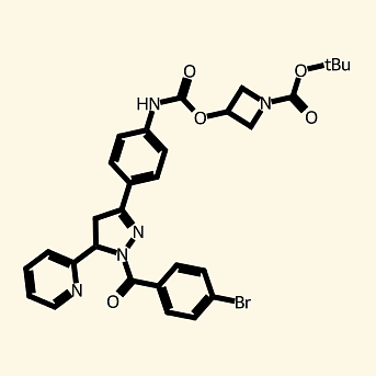 CC(C)(C)OC(=O)N1CC(OC(=O)Nc2ccc(C3=NN(C(=O)c4ccc(Br)cc4)C(c4ccccn4)C3)cc2)C1